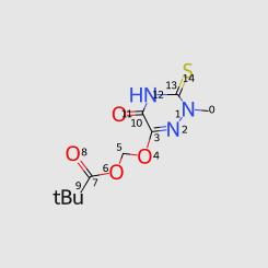 Cn1nc(OCOC(=O)C(C)(C)C)c(=O)[nH]c1=S